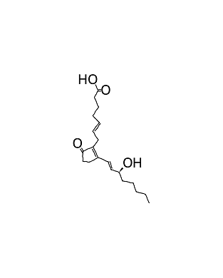 CCCCC[C@H](O)C=CC1=C(CC=CCCCC(=O)O)C(=O)CC1